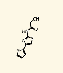 N#CCC(=O)Nc1nc(-c2cccs2)cs1